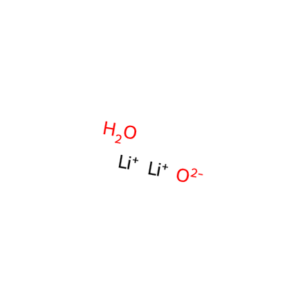 O.[Li+].[Li+].[O-2]